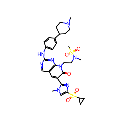 CN1CCC(c2ccc(Nc3ncc4cc(-c5nc(S(=O)(=O)C6CC6)cn5C)c(=O)n(CCN(C)S(C)(=O)=O)c4n3)cc2)CC1